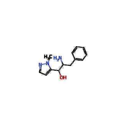 Cn1nccc1C(O)C(N)Cc1ccccc1